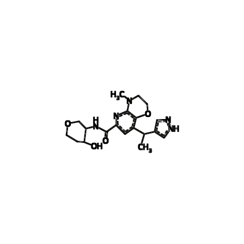 CC(c1cn[nH]c1)c1cc(C(=O)NC2COCCC2O)nc2c1OCCN2C